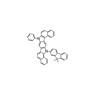 CC1(C)c2ccccc2-c2ccc(-n3c4cc5c6c7ccccc7ccc6n(-c6ccccc6)c5cc4c4ccc5ccccc5c43)cc21